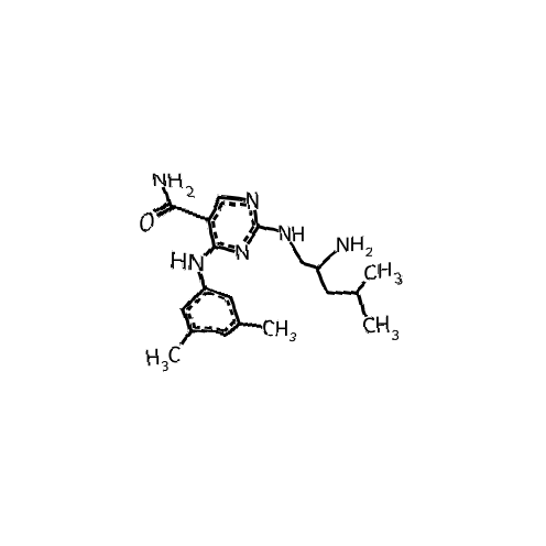 Cc1cc(C)cc(Nc2nc(NCC(N)CC(C)C)ncc2C(N)=O)c1